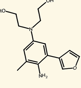 Cc1cc(N(CCO)CCO)cc(-c2ccoc2)c1N